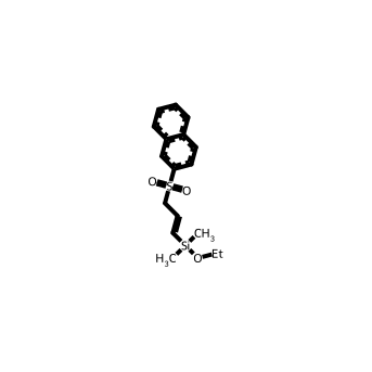 CCO[Si](C)(C)/C=C/CS(=O)(=O)c1ccc2ccccc2c1